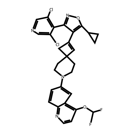 FC(F)Oc1ccnc2ccc(N3CCC4(C=C(c5c(-c6c(Cl)cncc6Cl)noc5C5CC5)C4)CC3)cc12